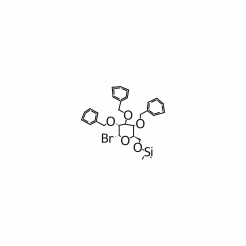 C[Si](C)(C)OC[C@H]1O[C@H](Br)[C@H](OCc2ccccc2)[C@@H](OCc2ccccc2)[C@@H]1OCc1ccccc1